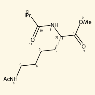 COC(=O)[C@H](CCCCNC(C)=O)NC(=O)C(C)C